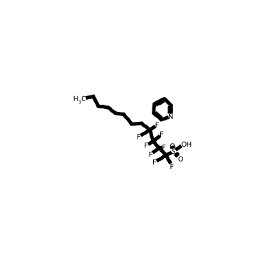 CCCCCCCCC(F)(F)C(F)(F)C(F)(F)C(F)(F)S(=O)(=O)O.c1ccncc1